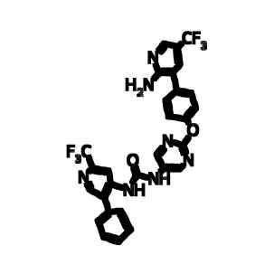 Nc1ncc(C(F)(F)F)cc1-c1ccc(Oc2ncc(NC(=O)Nc3cc(C(F)(F)F)ncc3-c3ccccc3)cn2)cc1